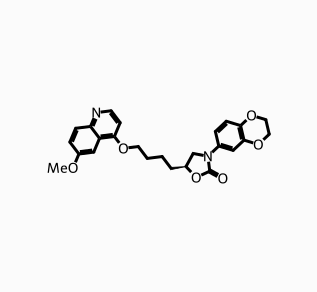 COc1ccc2nccc(OCCCC[C@H]3CN(c4ccc5c(c4)OCCO5)C(=O)O3)c2c1